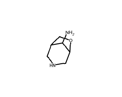 NC1C2CNCC1OC2